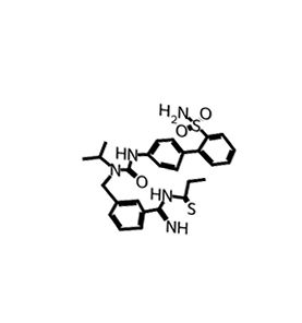 CCC(=S)NC(=N)c1cccc(CN(C(=O)Nc2ccc(-c3ccccc3S(N)(=O)=O)cc2)C(C)C)c1